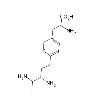 CC(N)C(N)CCc1ccc(CC(N)C(=O)O)cc1